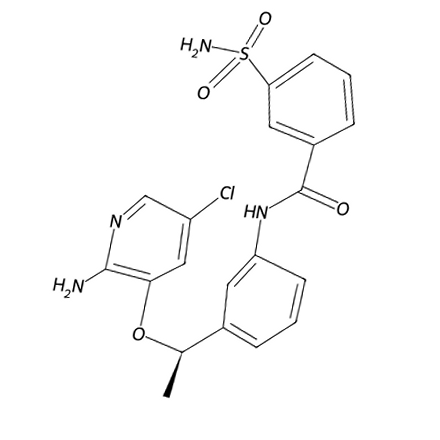 C[C@@H](Oc1cc(Cl)cnc1N)c1cccc(NC(=O)c2cccc(S(N)(=O)=O)c2)c1